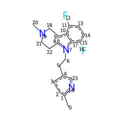 Cc1ccc(CCn2c3c(c4c(F)ccc(F)c42)CN(C)CC3)cn1